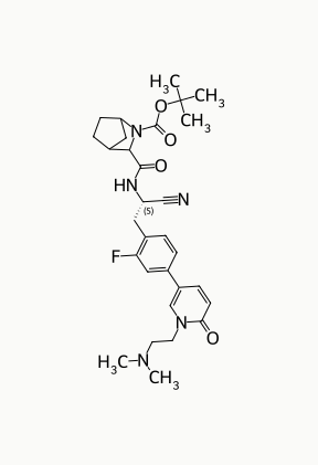 CN(C)CCn1cc(-c2ccc(C[C@@H](C#N)NC(=O)C3C4CCC(C4)N3C(=O)OC(C)(C)C)c(F)c2)ccc1=O